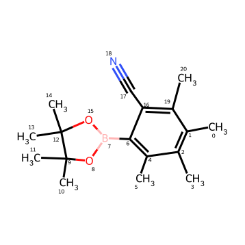 Cc1c(C)c(C)c(B2OC(C)(C)C(C)(C)O2)c(C#N)c1C